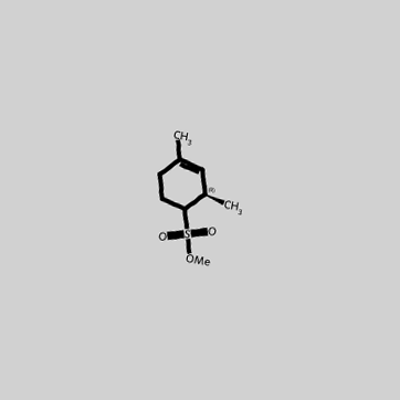 COS(=O)(=O)C1CCC(C)=C[C@H]1C